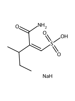 CCC(C)C(=CS(=O)(=O)O)C(N)=O.[NaH]